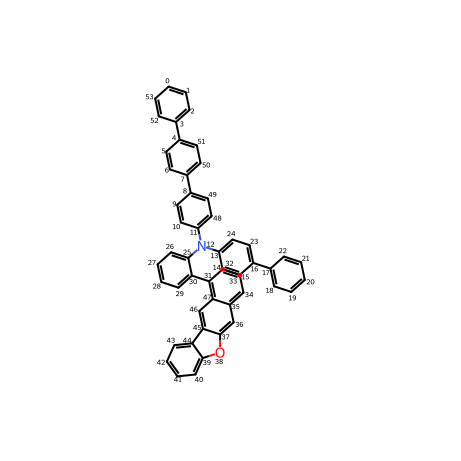 c1ccc(-c2ccc(-c3ccc(N(c4ccc(-c5ccccc5)cc4)c4ccccc4-c4cccc5cc6oc7ccccc7c6cc45)cc3)cc2)cc1